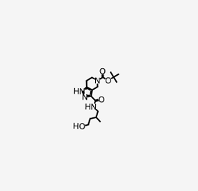 CC(CCO)CNC(=O)c1n[nH]c2c1CN(C(=O)OC(C)(C)C)CC2